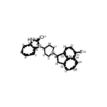 O=c1[nH]c2ccccc2n1C1CCN([C@@H]2Cc3cccc4c(F)ccc2c34)CC1